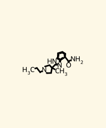 CCCN1CCC(C)(c2nc3c(C(N)=O)cccc3[nH]2)CC1